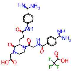 N=C(N)c1ccc(NC(=O)CC[C@H]2C(=O)N(CC(=O)O)CCN2C(=O)CNC(=O)c2ccc(C(=N)N)cc2)cc1.O=C(O)C(F)(F)F